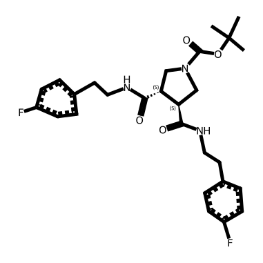 CC(C)(C)OC(=O)N1C[C@@H](C(=O)NCCc2ccc(F)cc2)[C@H](C(=O)NCCc2ccc(F)cc2)C1